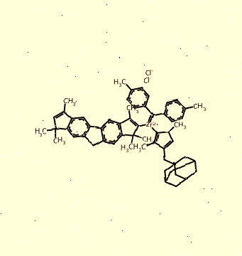 CC1=CC(C)(C)c2cc3c(cc21)-c1cc2c(cc1C3)C(C)(C)[C]([Zr+2]([C]1=C(C)C(CC34CC5CC(CC(C5)C3)C4)=CC1C)=[C](c1ccc(C)cc1)c1ccc(C)cc1)=C2C.[Cl-].[Cl-]